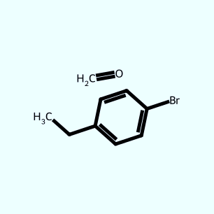 C=O.CCc1ccc(Br)cc1